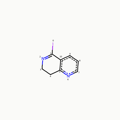 IC1=NCCc2ncccc21